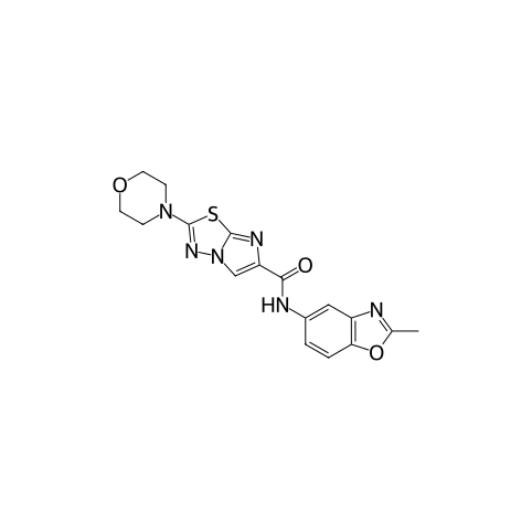 Cc1nc2cc(NC(=O)c3cn4nc(N5CCOCC5)sc4n3)ccc2o1